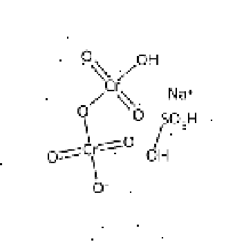 O=S(=O)(O)O.[Na+].[O]=[Cr](=[O])([O-])[O][Cr](=[O])(=[O])[OH]